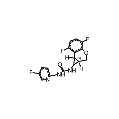 O=C(Nc1ccc(F)cn1)NC1[C@H]2COc3c(F)ccc(F)c3[C@@H]12